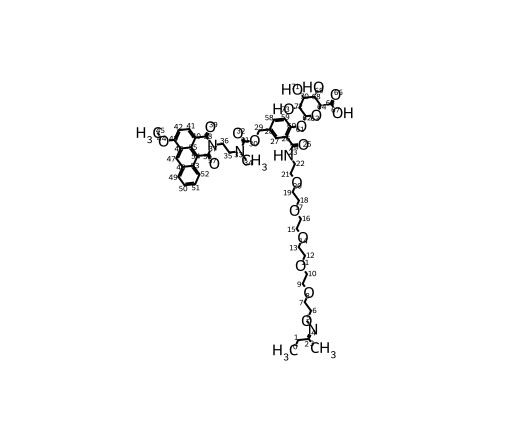 CC/C(C)=N\OCCOCCOCCOCCOCCOCCNC(=O)c1cc(COC(=O)N(C)CCN2C(=O)c3ccc(OC)c4cc5ccccc5c(c34)C2=O)ccc1O[C@@H]1O[C@H](C(=O)O)[C@@H](O)[C@H](O)[C@H]1O